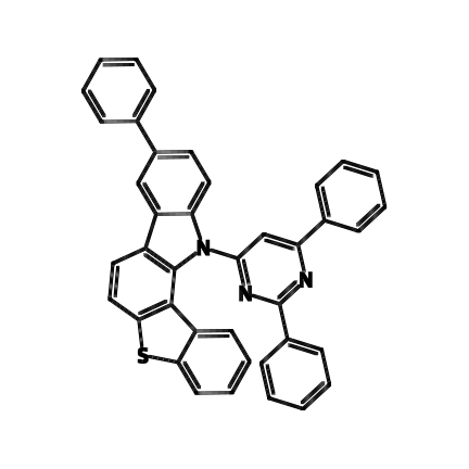 c1ccc(-c2ccc3c(c2)c2ccc4sc5ccccc5c4c2n3-c2cc(-c3ccccc3)nc(-c3ccccc3)n2)cc1